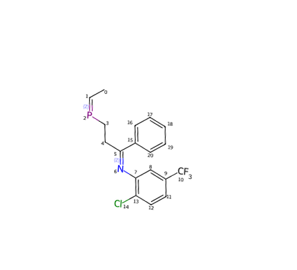 C/C=P\CC/C(=N/c1cc(C(F)(F)F)ccc1Cl)c1ccccc1